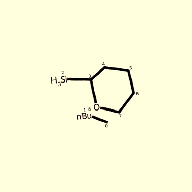 CCCCC.[SiH3]C1CCCCO1